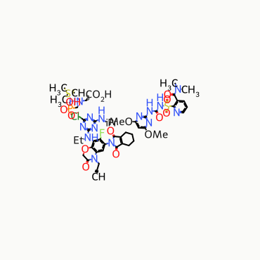 C#CCN1C(=O)COc2cc(F)c(N3C(=O)C4=C(CCCC4)C3=O)cc21.CCNc1nc(Cl)nc(NC(C)C)n1.COc1cc(OC)nc(NC(=O)NS(=O)(=O)c2ncccc2C(=O)N(C)C)n1.C[S+](C)C.O=C(O)CNCP(=O)([O-])O